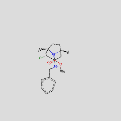 CC(C)(C)OC(=O)N1[C@@H]2CC[C@H]1[C@@H](F)[C@@H](NCc1ccccc1)C2